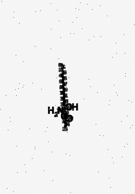 CCCCCCCCCCCCCC=CC(O)C(N)COC(=O)CCC